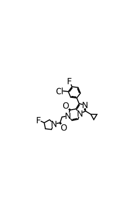 O=C(Cn1ccn2c(C3CC3)nc(-c3ccc(F)c(Cl)c3)c2c1=O)N1CCC(F)C1